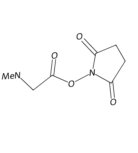 CNCC(=O)ON1C(=O)CCC1=O